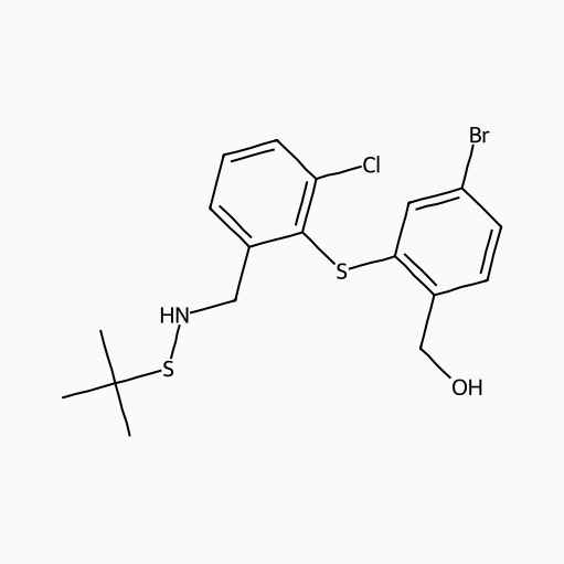 CC(C)(C)SNCc1cccc(Cl)c1Sc1cc(Br)ccc1CO